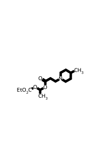 CCOC(=O)OC(C)OC(=O)CCN1CCC(C)CC1